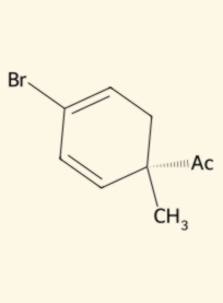 CC(=O)[C@]1(C)C=CC(Br)=CC1